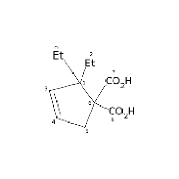 CCC1(CC)C=CCC1(C(=O)O)C(=O)O